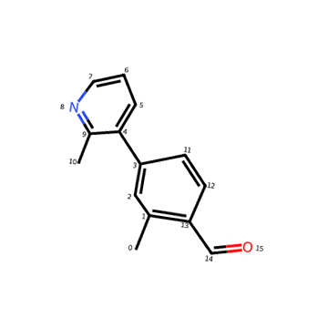 Cc1cc(-c2cccnc2C)ccc1C=O